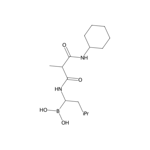 CC(C)CC(NC(=O)C(C)C(=O)NC1CCCCC1)B(O)O